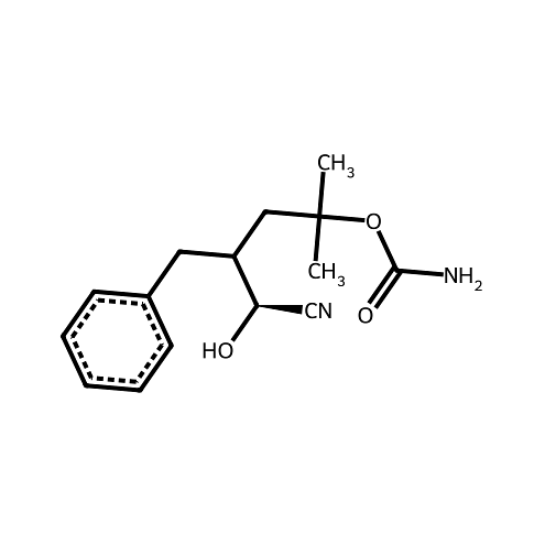 CC(C)(CC(Cc1ccccc1)[C@H](O)C#N)OC(N)=O